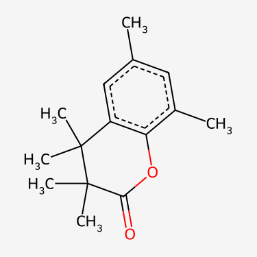 Cc1cc(C)c2c(c1)C(C)(C)C(C)(C)C(=O)O2